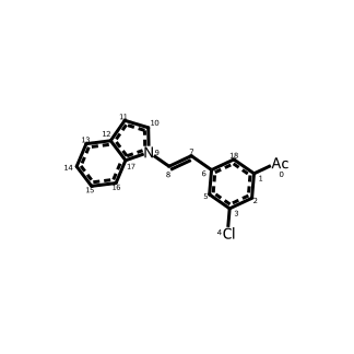 CC(=O)c1cc(Cl)cc(C=Cn2ccc3ccccc32)c1